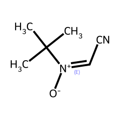 CC(C)(C)/[N+]([O-])=C\C#N